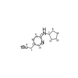 CC(C)(C)Cc1ccc(NC2CCCC2)nc1